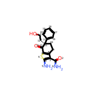 NC(=O)c1c(N)sc2c1CC[C@](CCO)(c1ccccc1)C2=O